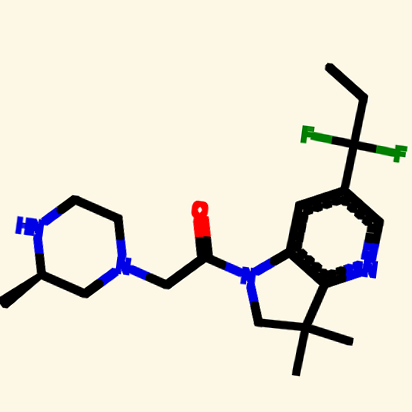 CCC(F)(F)c1cnc2c(c1)N(C(=O)CN1CCN[C@H](C)C1)CC2(C)C